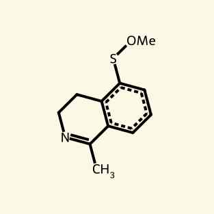 COSc1cccc2c1CCN=C2C